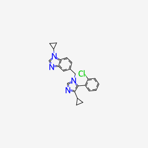 Clc1ccccc1-c1c(C2CC2)ncn1Cc1ccc2c(c1)ncn2C1CC1